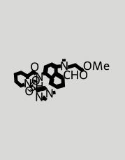 COCCCN(C)c1ccc(NC(=O)C2CCCCN2S(=O)(=O)c2cn(C)cn2)c2cccc(C=O)c12